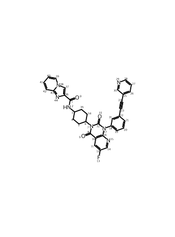 O=C(NC1CCC(n2c(=O)c3cc(F)cnc3n(-c3cccc(C#Cc4cccnc4)c3)c2=O)CC1)c1cn2ccccc2n1